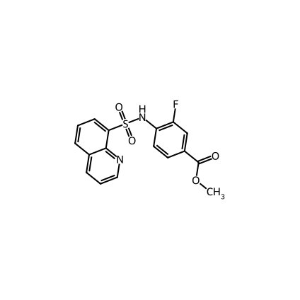 COC(=O)c1ccc(NS(=O)(=O)c2cccc3cccnc23)c(F)c1